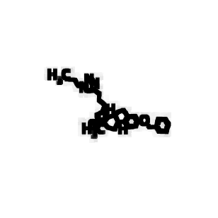 CCCCn1cc(CCCC2CC(=O)[C@@]3(C)CC[C@@H]4c5ccc(OCc6ccccc6)cc5CC[C@H]4[C@H]23)nn1